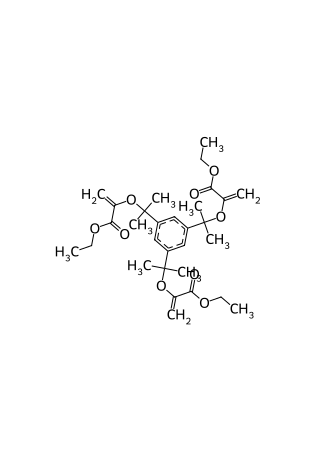 C=C(OC(C)(C)c1cc(C(C)(C)OC(=C)C(=O)OCC)cc(C(C)(C)OC(=C)C(=O)OCC)c1)C(=O)OCC